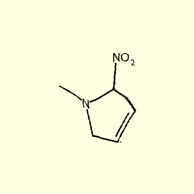 CN1C[C]=CC1[N+](=O)[O-]